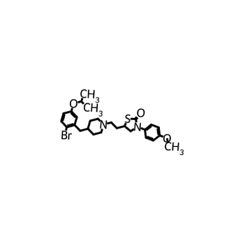 COc1ccc(N2CC(CCN3CCC(Cc4cc(OC(C)C)ccc4Br)CC3)SC2=O)cc1